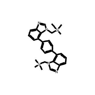 C[Si](C)(C)Cn1[c]nc2cccc(-c3ccc(-c4cccc5n[c]n(C[Si](C)(C)C)c45)cc3)c21